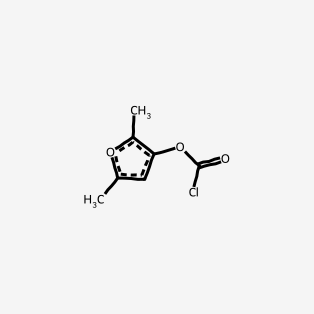 Cc1cc(OC(=O)Cl)c(C)o1